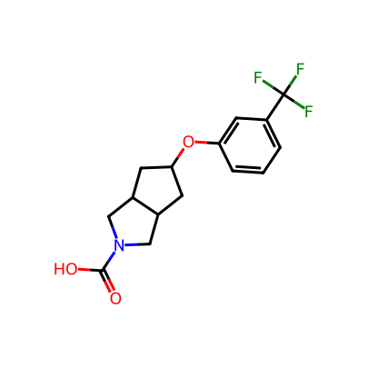 O=C(O)N1CC2CC(Oc3cccc(C(F)(F)F)c3)CC2C1